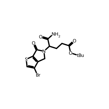 CC(C)(C)OC(=O)CCC(C(N)=O)N1Cc2c(Br)csc2C1=O